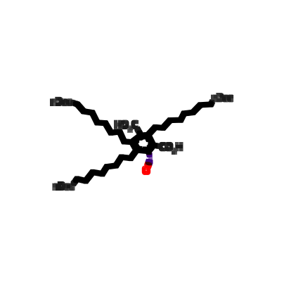 CCCCCCCCCCCCCCCCCCc1c(CCCCCCCCCCCCCCCCCC)c(C(=O)O)c(CCCCCCCCCCCCCCCCCC)c(C(=O)O)c1I=O